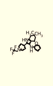 CC1(C)CC(=O)c2c([nH]c(-c3cc[n+](CC(F)(F)F)cc3)c2Nc2ccccc2)C1